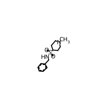 CN1CCC(S(=O)(=O)NCc2ccccc2)CC1